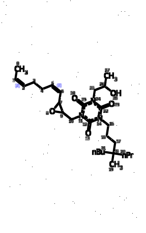 C/C=C\CC/C=C\C1OC1Cn1c(=O)n(CCCC(C)(CCC)CCCC)c(=O)n(CC(C)O)c1=O